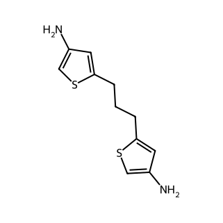 Nc1csc(CCCc2cc(N)cs2)c1